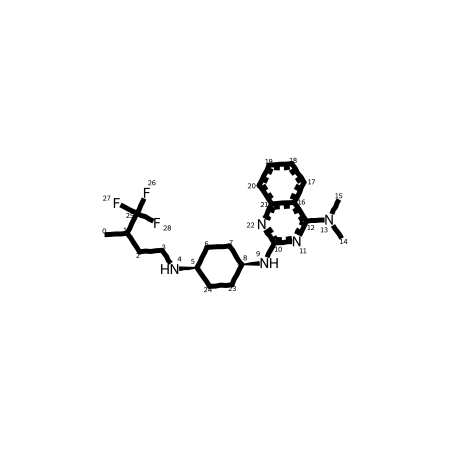 CC(CCN[C@H]1CC[C@@H](Nc2nc(N(C)C)c3ccccc3n2)CC1)C(F)(F)F